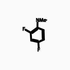 C[N]c1ccc(F)cc1F